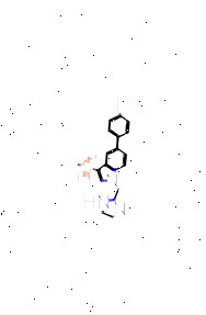 CS(=O)(=O)c1cn(CC2=NCCN2)c2ccc(-c3ccc(F)cc3)cc12